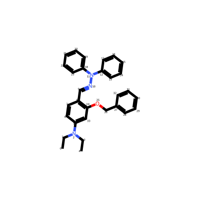 CCN(CC)c1ccc(/C=N/N(c2ccccc2)c2ccccc2)c(OCc2ccccc2)c1